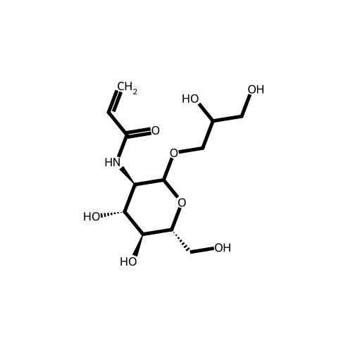 C=CC(=O)N[C@H]1C(OCC(O)CO)O[C@H](CO)[C@@H](O)[C@@H]1O